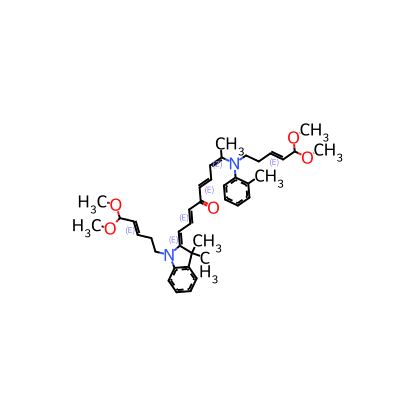 COC(/C=C/CCN(/C(C)=C\C=C\C(=O)/C=C/C=C1/N(CC/C=C/C(OC)OC)c2ccccc2C1(C)C)c1ccccc1C)OC